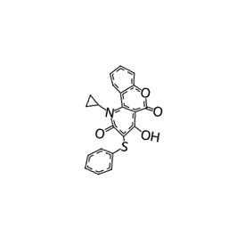 O=c1oc2ccccc2c2c1c(O)c(Sc1ccccc1)c(=O)n2C1CC1